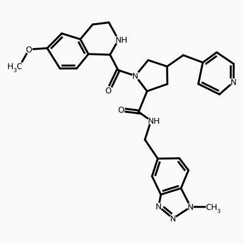 COc1ccc2c(c1)CCNC2C(=O)N1CC(Cc2ccncc2)CC1C(=O)NCc1ccc2c(c1)nnn2C